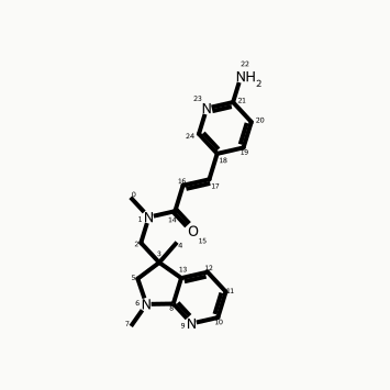 CN(CC1(C)CN(C)c2ncccc21)C(=O)C=Cc1ccc(N)nc1